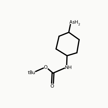 CC(C)(C)OC(=O)NC1CCC([AsH2])CC1